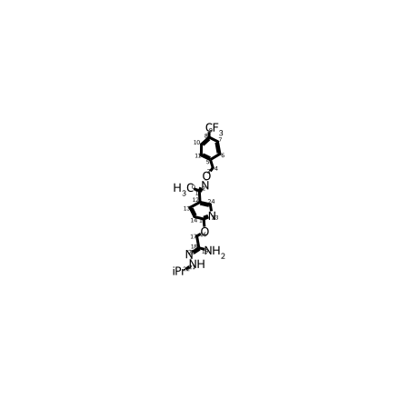 C/C(=N\OCc1ccc(C(F)(F)F)cc1)c1ccc(OC/C(N)=N/NC(C)C)nc1